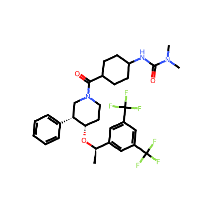 C[C@@H](O[C@H]1CCN(C(=O)C2CCC(NC(=O)N(C)C)CC2)C[C@H]1c1ccccc1)c1cc(C(F)(F)F)cc(C(F)(F)F)c1